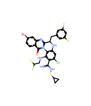 N=C(NSC1CC1)c1c(Cl)cc2c(c1NCC(F)F)-n1c(nc3cc(Br)ccc3c1=O)C(Cc1cc(F)cc(F)c1)N2